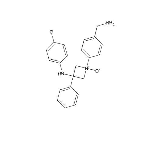 NCc1ccc([N+]2([O-])CC(Nc3ccc(Cl)cc3)(c3ccccc3)C2)cc1